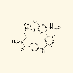 CN(C)CCN(C)C(=O)c1ccc(Nc2ncc3c(n2)-c2ccc(Cl)cc2NC(=O)C3)cc1